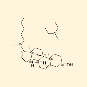 CC(C)CCC[C@@H](C)[C@H]1CC[C@H]2[C@@H]3CC=C4C[C@@H](O)CC[C@]4(C)[C@H]3CC[C@]12C.CCN(CC)CC